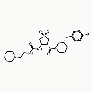 O=C(NCCN1CCOCC1)N[C@H]1CS(=O)(=O)C[C@@H]1C(=O)N1CCC[C@@H](Cc2ccc(F)cc2)C1